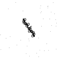 C=CC(=O)OCOc1ccc(C(=O)OCCc2ccc(OC(=O)c3ccc(OCOC(=O)C=C)cc3)c(F)c2)cc1